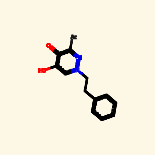 CC(=O)c1nn(CCc2ccccc2)cc(O)c1=O